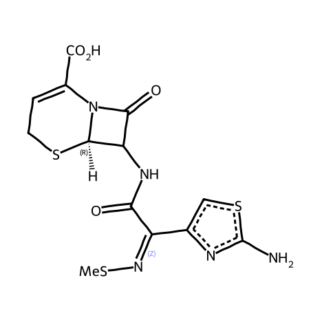 CS/N=C(\C(=O)NC1C(=O)N2C(C(=O)O)=CCS[C@H]12)c1csc(N)n1